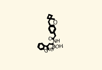 O=C(Cc1ccc2c(c1)OCC1(CCC1)C2)NC(Cc1coc2ccccc12)B(O)O